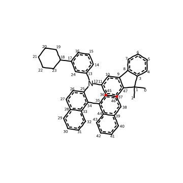 CC1(C)c2ccccc2-c2cc(N(c3cccc(C4CCCCC4)c3)c3ccc4ccccc4c3-c3cccc4ccccc34)ccc21